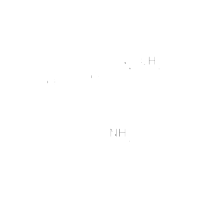 C=Nc1ccc(N)cc1OC1CCOC1